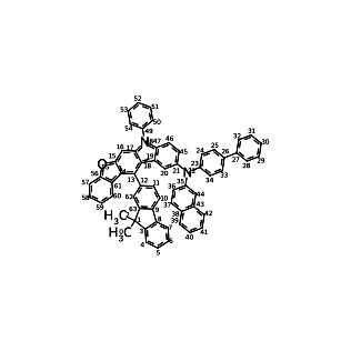 CC1(C)c2ccccc2-c2ccc(-c3c4c(cc5c3c3cc(N(c6ccc(-c7ccccc7)cc6)c6ccc7ccccc7c6)ccc3n5-c3ccccc3)oc3ccccc34)cc21